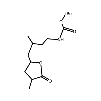 CC(CCNC(=O)OC(C)(C)C)CC1CC(C)C(=O)O1